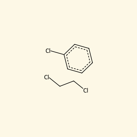 ClCCCl.Clc1ccccc1